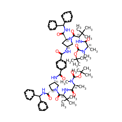 C[C@@H](C(=O)N[C@H](C(=O)N1C[C@@H](NC(=O)c2ccc(C(=O)N[C@H]3C[C@@H](C(=O)NC(c4ccccc4)c4ccccc4)N(C(=O)[C@@H](NC(=O)[C@H](C)N(C)C(=O)OC(C)(C)C)C(C)(C)C)C3)cc2)C[C@H]1C(=O)NC(c1ccccc1)c1ccccc1)C(C)(C)C)N(C)C(=O)OC(C)(C)C